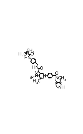 CC(C)n1nc(C(=O)NCc2ccc(NC(=O)N(C)C)cc2)c2c1[C@@H](C)CN(c1ccc(C(=O)N(C)C[C@@H]3CCNC[C@@H]3F)cc1)C2